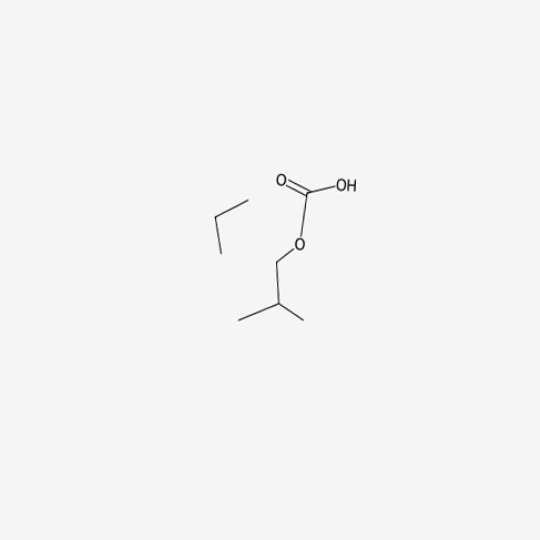 CC(C)COC(=O)O.CCC